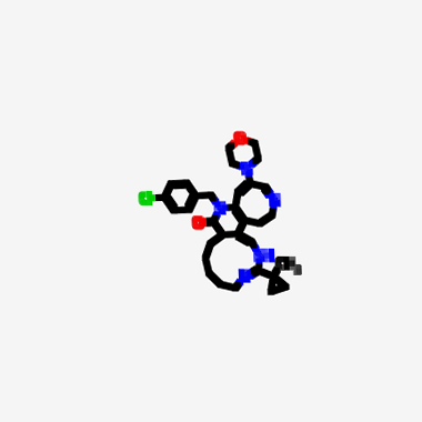 CC1(/C2=N\CCCCCC3C(=O)N(Cc4ccc(Cl)cc4)C4=C(CC/N=C\C(N5CCOCC5)=C/4)C/3=C/N2)CC1